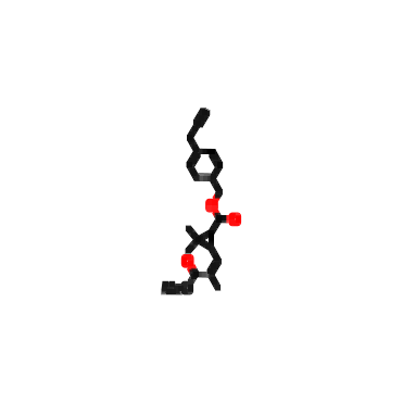 C#CCc1ccc(COC(=O)C2C(C=C(C)C(=O)OC)C2(C)C)cc1